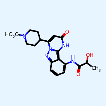 CC(O)C(=O)Nc1cccc2nn3c(C4CCN(C(=O)O)CC4)cc(=O)[nH]c3c12